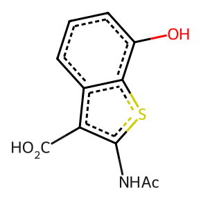 CC(=O)Nc1sc2c(O)cccc2c1C(=O)O